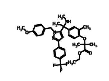 CCOC(=O)C(C)(C)Oc1ccc(C(C)(NC)c2cc(-c3ccc(C(F)(F)F)cc3)nn2Cc2ccc(OC)cc2)cc1C